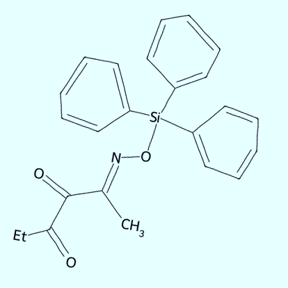 CCC(=O)C(=O)/C(C)=N/O[Si](c1ccccc1)(c1ccccc1)c1ccccc1